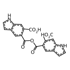 O=C(O)c1cc2[nH]ccc2cc1C(=O)OC(=O)c1cc2cc[nH]c2cc1C(=O)O